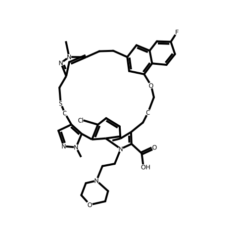 Cn1nc2cc1CCc1cc(c3ccc(F)cc3c1)OCCCc1c(C(=O)O)n(CCN3CCOCC3)c3c(c(Cl)ccc13)-c1c(cnn1C)CSC2